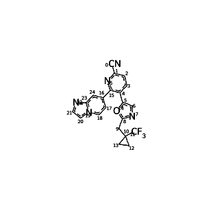 N#Cc1ccc(-c2cnc(CC3(C(F)(F)F)CC3)o2)c(-c2ccn3ccnc3c2)n1